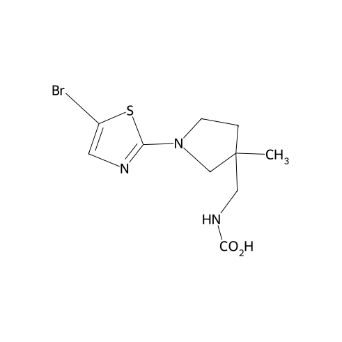 CC1(CNC(=O)O)CCN(c2ncc(Br)s2)C1